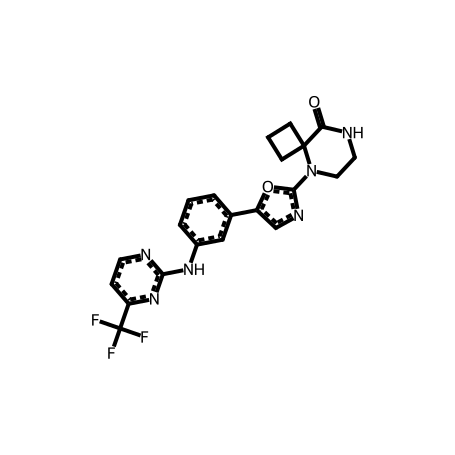 O=C1NCCN(c2ncc(-c3cccc(Nc4nccc(C(F)(F)F)n4)c3)o2)C12CCC2